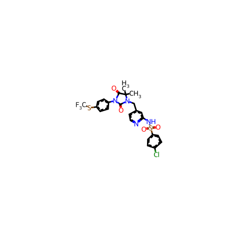 CC1(C)C(=O)N(c2ccc(SC(F)(F)F)cc2)C(=O)N1Cc1ccnc(NS(=O)(=O)c2ccc(Cl)cc2)c1